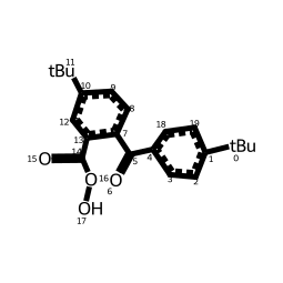 CC(C)(C)c1ccc(C(=O)c2ccc(C(C)(C)C)cc2C(=O)OO)cc1